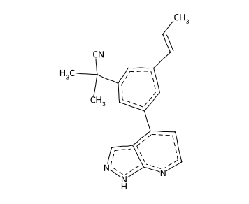 C/C=C/c1cc(-c2ccnc3[nH]ncc23)cc(C(C)(C)C#N)c1